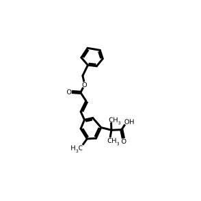 Cc1cc(C=CC(=O)OCc2ccccc2)cc(C(C)(C)C(=O)O)c1